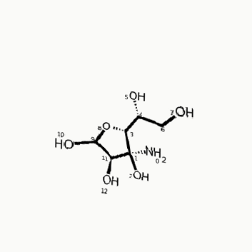 N[C@@]1(O)[C@@H]([C@H](O)CO)OC(O)[C@@H]1O